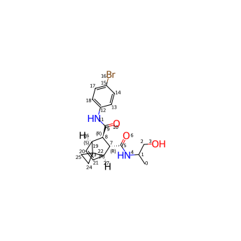 CC(CO)NC(=O)[C@H]1[C@H](C(=O)Nc2ccc(Br)cc2)[C@@H]2C=C[C@H]1C21CC1